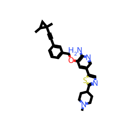 CC1CC1(C)C#Cc1cccc(COc2cc(-c3cnc(C4CCN(C)CC4)s3)cnc2N)c1